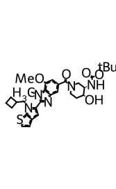 COc1cc(C(=O)N2CC[C@@H](O)[C@@H](NC(=O)OC(C)(C)C)C2)cc2nc(-c3cc4ccsc4n3CC3CCC3)n(C)c12